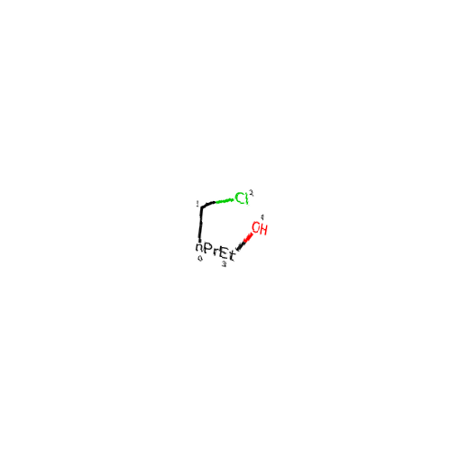 CCCCCl.CCO